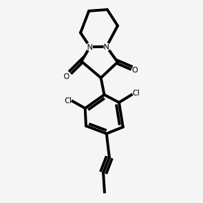 CC#Cc1cc(Cl)c(C2C(=O)N3CCCCN3C2=O)c(Cl)c1